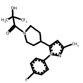 Cc1cc(C2CCN(C(=O)C(C)(O)C(F)(F)F)CC2)n(-c2ccc(F)cc2)n1